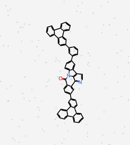 O=c1c2ccc(-c3ccc4c5ccccc5c5ccccc5c4c3)cc2c2nccc3c4cc(-c5cccc(-c6ccc7c8ccccc8c8ccccc8c7c6)c5)ccc4n1c32